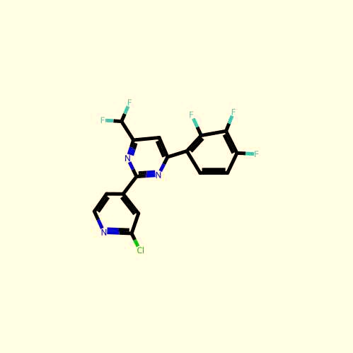 Fc1ccc(-c2cc(C(F)F)nc(-c3ccnc(Cl)c3)n2)c(F)c1F